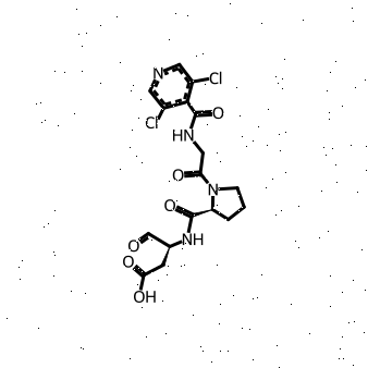 O=C[C@H](CC(=O)O)NC(=O)[C@@H]1CCCN1C(=O)CNC(=O)c1c(Cl)cncc1Cl